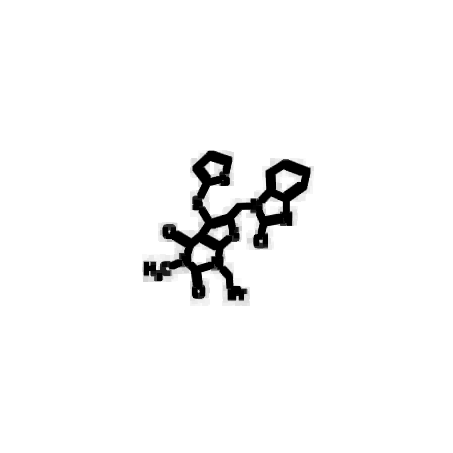 CC(C)Cn1c(=O)n(C)c(=O)c2c(Sc3cccs3)c(Cn3c(Cl)nc4ccccc43)sc21